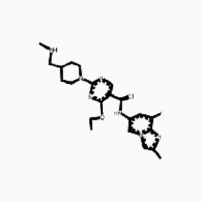 CCOc1nc(N2CCC(CNC)CC2)ncc1C(=O)Nc1cc(F)c2nc(C)cn2c1